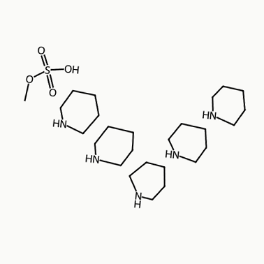 C1CCNCC1.C1CCNCC1.C1CCNCC1.C1CCNCC1.C1CCNCC1.COS(=O)(=O)O